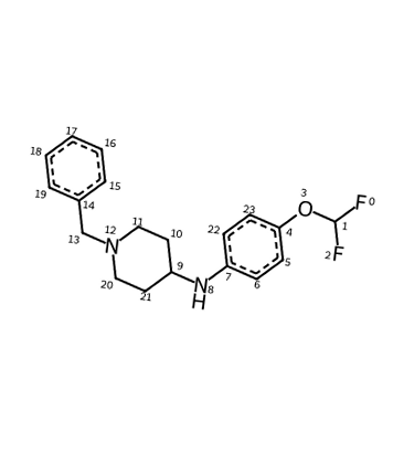 FC(F)Oc1ccc(NC2CCN(Cc3ccccc3)CC2)cc1